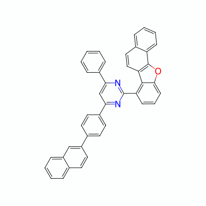 c1ccc(-c2cc(-c3ccc(-c4ccc5ccccc5c4)cc3)nc(-c3cccc4oc5c6ccccc6ccc5c34)n2)cc1